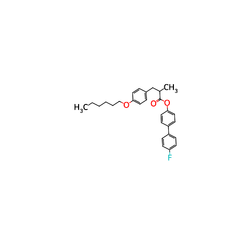 CCCCCCOc1ccc(CC(C)C(=O)Oc2ccc(-c3ccc(F)cc3)cc2)cc1